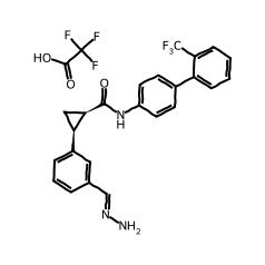 NN=Cc1cccc([C@H]2C[C@H]2C(=O)Nc2ccc(-c3ccccc3C(F)(F)F)cc2)c1.O=C(O)C(F)(F)F